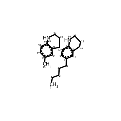 CCCCCc1ccc2c(c1)CCCN2.Cc1ccc2c(c1)CCCN2